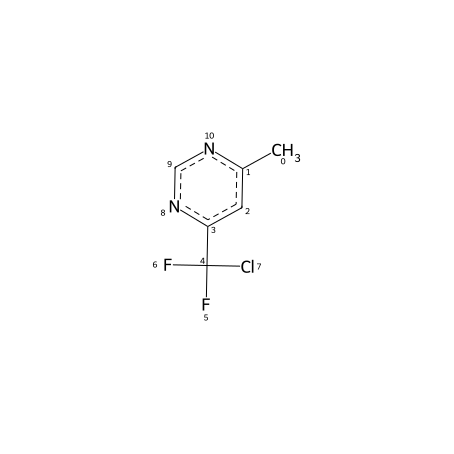 Cc1cc(C(F)(F)Cl)ncn1